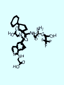 C[C@H](N)C(=O)NC(=O)C1(N(CC(=O)O)Cc2ccc3c(NCC(=O)O)nccc3c2)CCC(C2CCCCC2)C1.O=C(O)C(F)(F)F